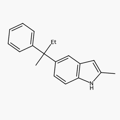 [CH2]CC(C)(c1ccccc1)c1ccc2[nH]c(C)cc2c1